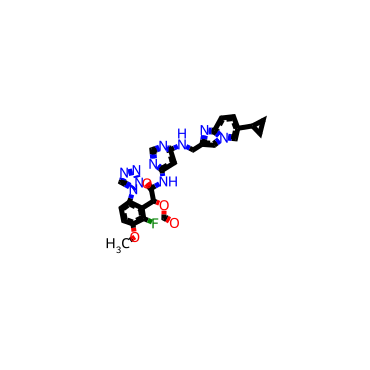 COc1ccc(-n2cnnn2)c(C(OC=O)C(=O)Nc2cc(NCc3cn4cc(C5CC5)ccc4n3)ncn2)c1F